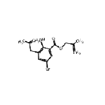 C=C(C)COC(=O)c1cc(Br)cc(CC(=C)C)c1O